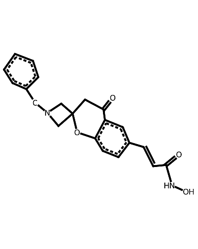 O=C(C=Cc1ccc2c(c1)C(=O)CC1(CN(Cc3ccccc3)C1)O2)NO